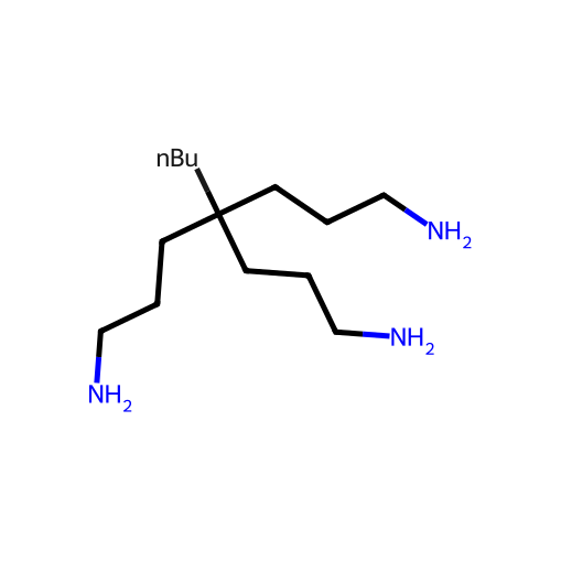 CCCCC(CCCN)(CCCN)CCCN